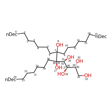 CCCCCCCCCCCCCCCCC(O)(CCCCCCCCCCCCCCCC)[C@@](O)(CCCCCCCCCCCCCCCC)[C@@H](O)[C@H](O)[C@H](O)CO